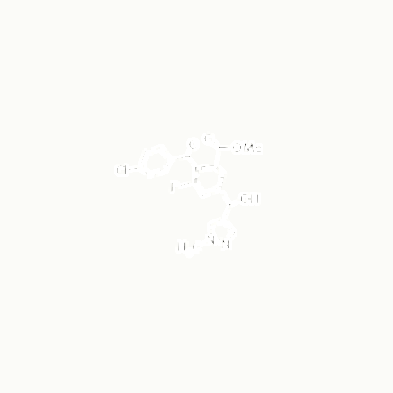 COC(=O)c1cc(C(O)c2cnn(C)c2)cc(F)c1C(=O)c1ccc(Cl)cc1